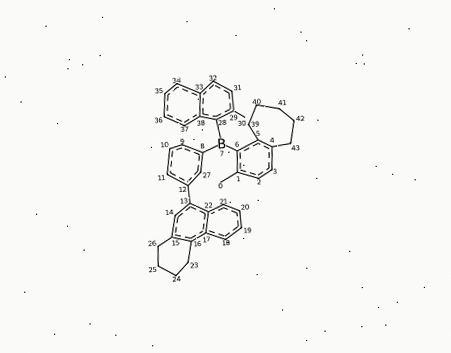 Cc1ccc2c(c1B(c1cccc(-c3cc4c(c5ccccc35)CCCC4)c1)c1c(C)ccc3ccccc13)CCCCC2